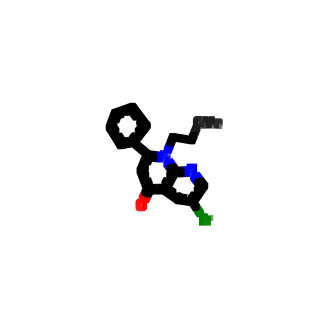 COCCn1c(-c2ccccc2)cc(=O)c2cc(Br)cnc21